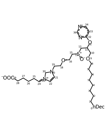 CCCCCCCCCCCCCCCCCCOCC(C[S+]([O-])CCOCCN1C=C[N+](=CCCCCC(=O)[O-])C1)Oc1ccncn1